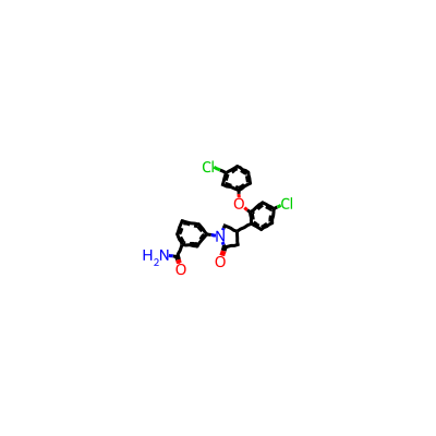 NC(=O)c1cccc(N2CC(c3ccc(Cl)cc3Oc3cccc(Cl)c3)CC2=O)c1